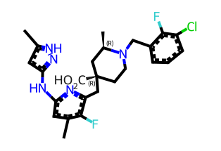 Cc1cc(Nc2cc(C)c(F)c(C[C@@]3(C(=O)O)CCN(Cc4cccc(Cl)c4F)[C@H](C)C3)n2)n[nH]1